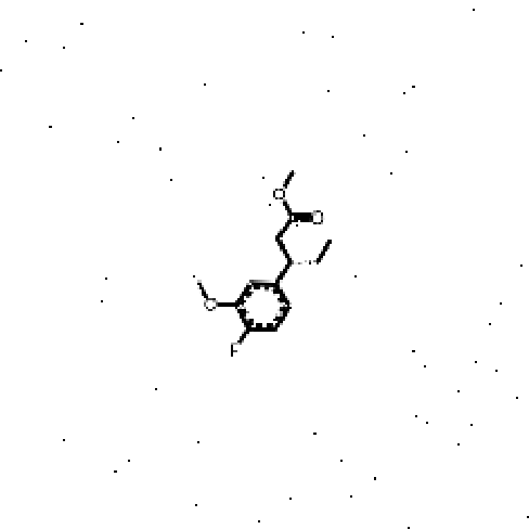 CC[C@@H](CC(=O)OC)c1ccc(F)c(OC)c1